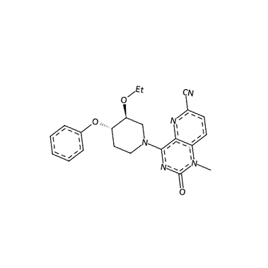 CCO[C@H]1CN(c2nc(=O)n(C)c3ccc(C#N)nc23)CC[C@@H]1Oc1ccccc1